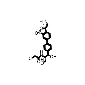 NCC1OB(O)c2cc(-c3ccc([C@@H](O)[C@@H](CO)NC(=O)CCl)cc3)ccc21